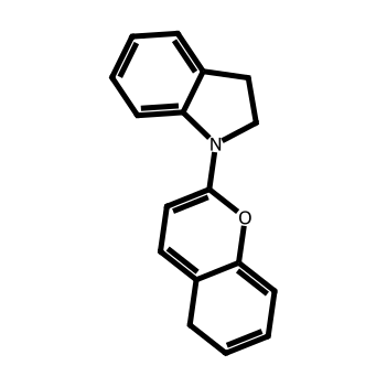 C1=CCC2=CC=C(N3CCc4ccccc43)OC2=C1